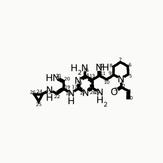 C=CC(=O)N1CCCCC1CC(=N)c1c(N)nc(N/C(C=N)=C/NC2CC2)nc1N